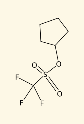 O=S(=O)(OC1CCCC1)C(F)(F)F